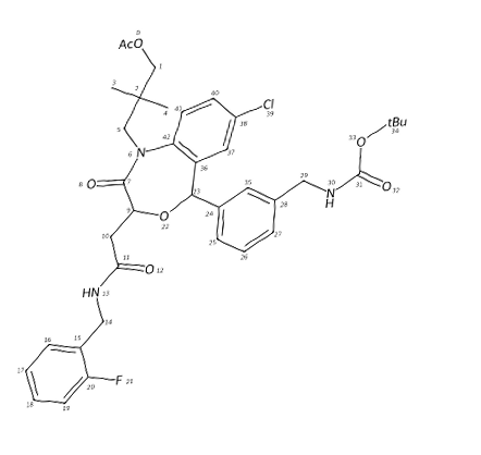 CC(=O)OCC(C)(C)CN1C(=O)C(CC(=O)NCc2ccccc2F)OC(c2cccc(CNC(=O)OC(C)(C)C)c2)c2cc(Cl)ccc21